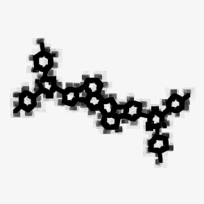 Cc1ccc(-c2nc(-c3ccc(C)cc3)nc(-c3ccc4c(c3)c3cccc5c6cc7c8ccc(-c9nc(-c%10ccc(C)cc%10)nc(-c%10ccc(C)cc%10)n9)cc8c8cccc(c6cc4c35)c87)n2)cc1